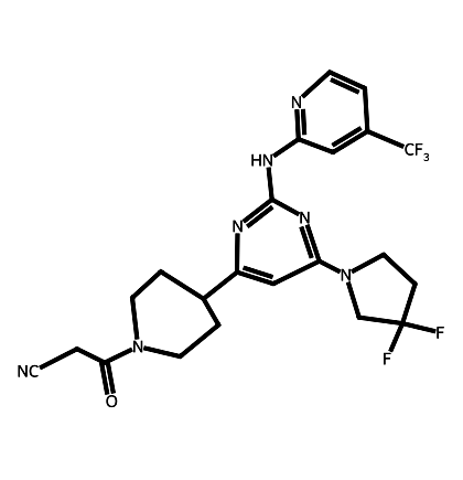 N#CCC(=O)N1CCC(c2cc(N3CCC(F)(F)C3)nc(Nc3cc(C(F)(F)F)ccn3)n2)CC1